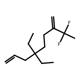 C=CCC(CC)(CC)CCC(=C)C(C)(F)F